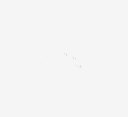 Cn1c(C2CCC2)c(C2CC2)c(=O)n1-c1ccccc1